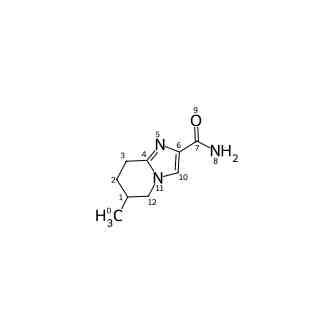 CC1CCc2nc(C(N)=O)cn2C1